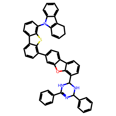 C1=Cc2c(c3ccccc3n2-c2cccc3c2sc2c(-c4ccc5c(c4)oc4c(C6NC(c7ccccc7)=NC(c7ccccc7)N6)cccc45)cccc23)CC1